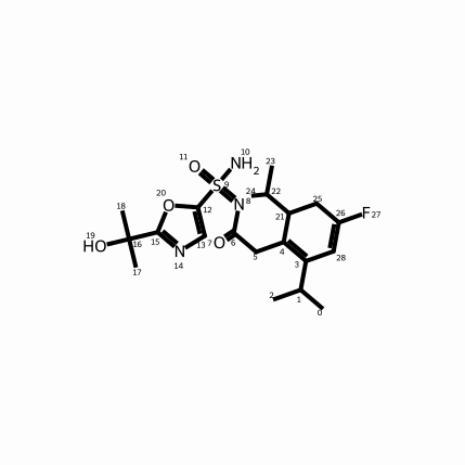 CC(C)C1=C(CC(=O)N=S(N)(=O)c2cnc(C(C)(C)O)o2)C(C(C)C)CC(F)=C1